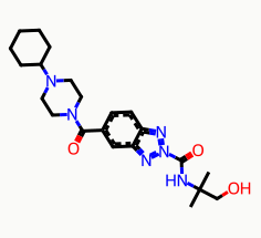 CC(C)(CO)NC(=O)n1nc2ccc(C(=O)N3CCN(C4CCCCC4)CC3)cc2n1